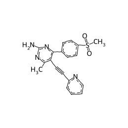 Cc1nc(N)nc(-c2ccc(S(C)(=O)=O)cc2)c1C#Cc1ccccn1